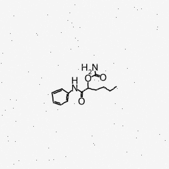 CCCCC(OC(N)=O)C(=O)Nc1ccccc1